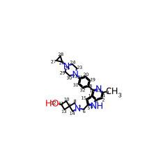 Cc1cc2[nH]c(CN3CC4(CC(O)C4)C3)cc2c(-c2ccc(N3CCN(C4CC4)CC3)cc2)n1